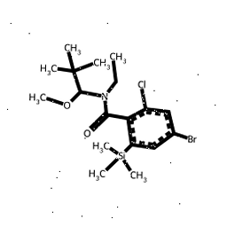 CCN(C(=O)c1c(Cl)cc(Br)cc1[Si](C)(C)C)C(OC)C(C)(C)C